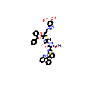 CON=C(C(=O)NC1C(=O)N2CC(C=CCn3cnc4cc(O)c(O)cc43)(C(=O)OC(c3ccccc3)c3ccccc3)CS[C@H]12)c1csc(NC(c2ccccc2)(c2ccccc2)c2ccccc2)n1